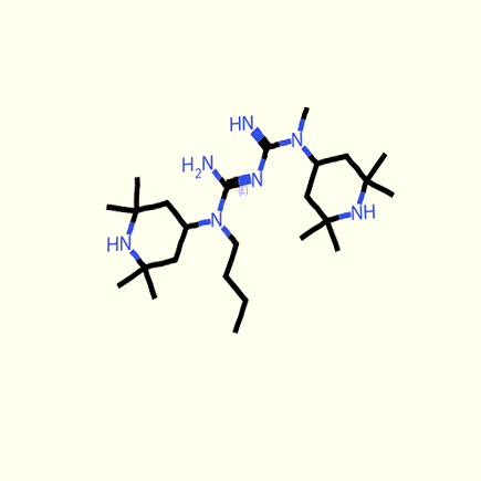 CCCCN(/C(N)=N/C(=N)N(C)C1CC(C)(C)NC(C)(C)C1)C1CC(C)(C)NC(C)(C)C1